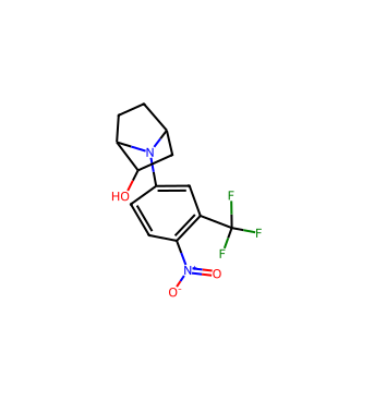 O=[N+]([O-])c1ccc(N2C3CCC2C(O)C3)cc1C(F)(F)F